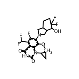 COc1c(N2CC3CCC(F)(F)C(O)C3C2)c(F)c(C(F)F)c2c(=O)[nH]c(=O)n(C3CC3)c12